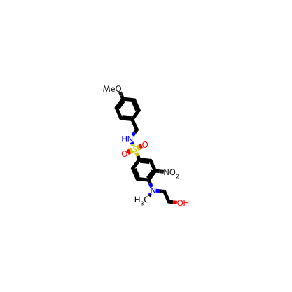 COc1ccc(CNS(=O)(=O)c2ccc(N(C)CCO)c([N+](=O)[O-])c2)cc1